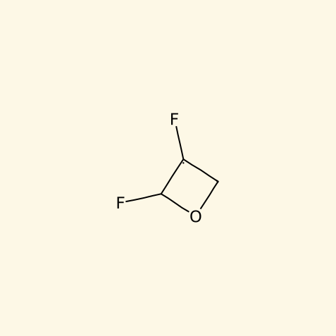 F[C]1COC1F